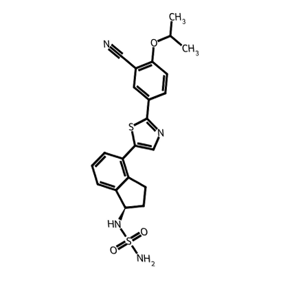 CC(C)Oc1ccc(-c2ncc(-c3cccc4c3CC[C@H]4NS(N)(=O)=O)s2)cc1C#N